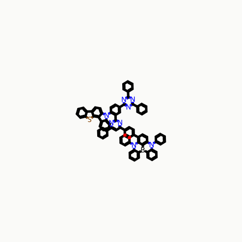 c1ccc(-c2cc(-c3ccc(-c4ccc5c6c4N(c4ccccc4)c4ccccc4B6c4ccccc4N5c4ccccc4)cc3)nc(-c3cc(-c4nc(-c5ccccc5)nc(-c5ccccc5)n4)ccc3-n3c4ccccc4c4c5sc6ccccc6c5ccc43)n2)cc1